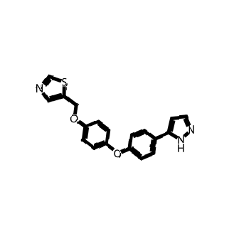 c1cc(-c2ccc(Oc3ccc(OCc4cncs4)cc3)cc2)[nH]n1